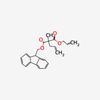 C=CCOC(=O)C(C)(CC=C)C(=O)OCC1c2ccccc2-c2ccccc21